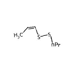 C/C=C\SSCCC